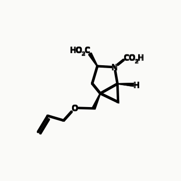 C=CCOC[C@@]12C[C@@H](C(=O)O)N(C(=O)O)[C@@H]1C2